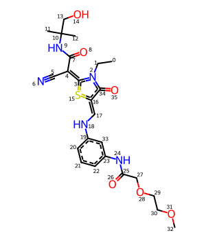 CCn1c(=C(C#N)C(=O)NC(C)(C)CO)sc(=CNc2cccc(NC(=O)COCCOC)c2)c1=O